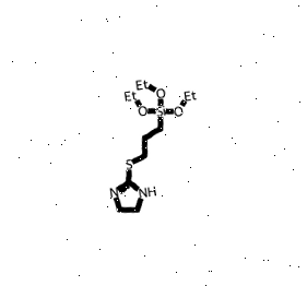 CCO[Si](CCCSC1=NCCN1)(OCC)OCC